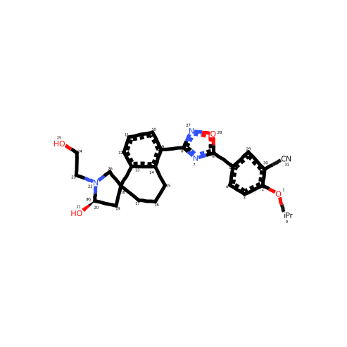 CC(C)Oc1ccc(-c2nc(-c3cccc4c3CCCC43C[C@@H](O)N(CCO)C3)no2)cc1C#N